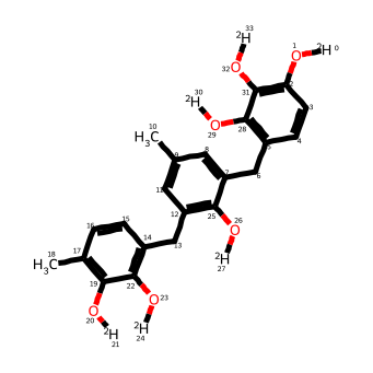 [2H]Oc1ccc(Cc2cc(C)cc(Cc3ccc(C)c(O[2H])c3O[2H])c2O[2H])c(O[2H])c1O[2H]